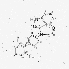 Nc1ncnc2c1C(=O)N(c1ccc(-c3c(F)cccc3F)cc1)CCO2